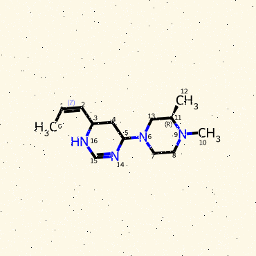 C/C=C\C1CC(N2CCN(C)[C@H](C)C2)N=CN1